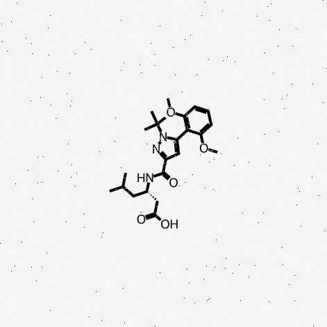 COc1cccc(OC)c1-c1cc(C(=O)N[C@H](CC(=O)O)CC(C)C)nn1C(C)(C)C